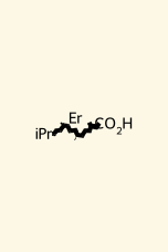 C/C(=C\C(=O)O)CCC[C@H](C)CCC[C@H](C)CCCC(C)C.[Er]